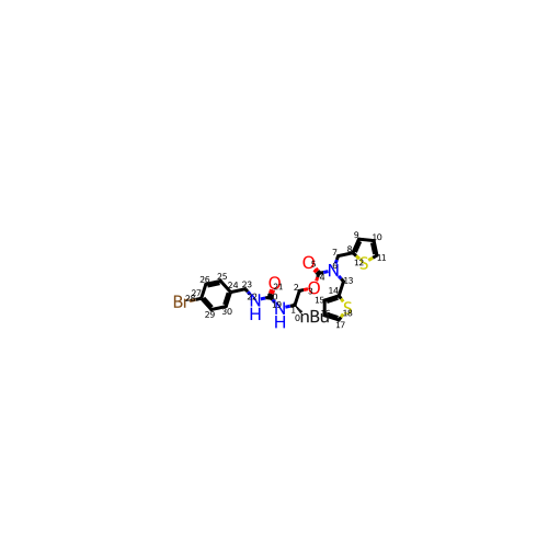 CCCC[C@H](COC(=O)N(Cc1cccs1)Cc1cccs1)NC(=O)NCc1ccc(Br)cc1